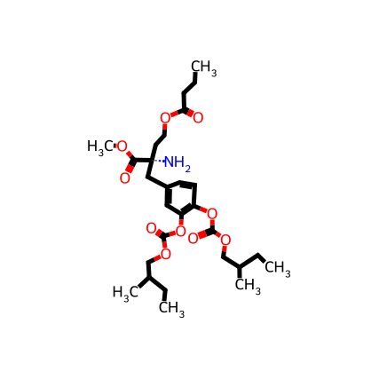 CCCC(=O)OCC[C@@](N)(Cc1ccc(OC(=O)OCC(C)CC)c(OC(=O)OCC(C)CC)c1)C(=O)OC